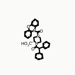 O=C(O)[C@@H]1CN(C(=O)N2c3ccccc3Oc3ccccc32)CCN1C(=O)C(c1ccccc1)c1ccccc1